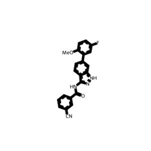 COc1ccc(F)cc1-c1ccc2c(NC(=O)c3cccc(C#N)c3)n[nH]c2c1